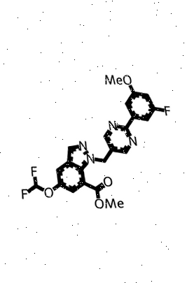 COC(=O)c1cc(OC(F)F)cc2cnn(Cc3cnc(-c4cc(F)cc(OC)c4)nc3)c12